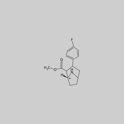 COC(=O)C1C(c2ccc(F)cc2)CC2CC[C@H]1N2